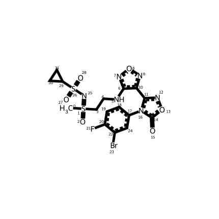 CS(=O)(CCNc1nonc1-c1noc(=O)n1-c1ccc(F)c(Br)c1)=NS(=O)(=O)C1CC1